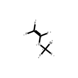 FC(F)=C(F)OC(F)(F)Br